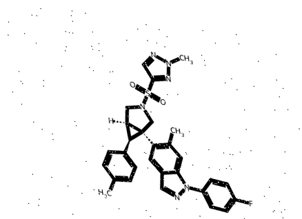 Cc1ccc([C@H]2[C@H]3CN(S(=O)(=O)c4cnn(C)n4)C[C@]32c2cc3cnn(-c4ccc(F)cc4)c3cc2C)cc1